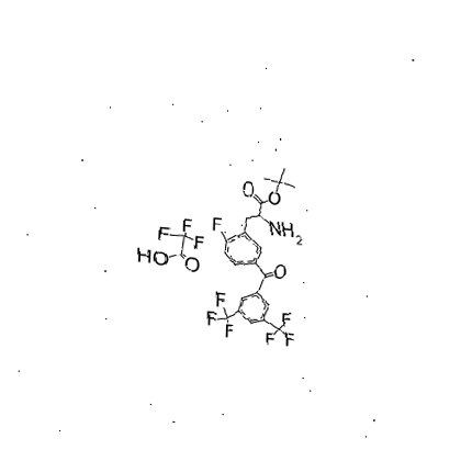 CC(C)(C)OC(=O)C(N)Cc1cc(C(=O)c2cc(C(F)(F)F)cc(C(F)(F)F)c2)ccc1F.O=C(O)C(F)(F)F